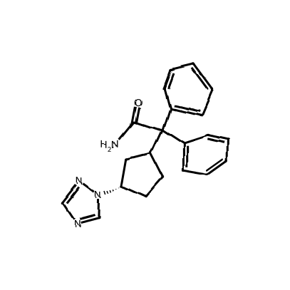 NC(=O)C(c1ccccc1)(c1ccccc1)C1CC[C@H](n2cncn2)C1